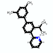 Cc1cc(C)cc(-c2ccc(-c3ccccn3)c(C(C)C)c2)c1